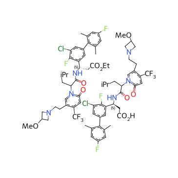 CCOC(=O)C[C@H](NC(=O)C(CC(C)C)n1cc(CCN2CC(OC)C2)c(C(F)(F)F)cc1=O)c1cc(-c2c(C)cc(F)cc2C)cc(Cl)c1F.COC1CN(CCc2cn(C(CC(C)C)C(=O)N[C@@H](CC(=O)O)c3cc(-c4c(C)cc(F)cc4C)cc(Cl)c3F)c(=O)cc2C(F)(F)F)C1